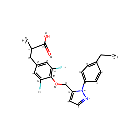 CCc1ccc(-n2nccc2COc2c(F)cc(CC(C)C(=O)O)cc2F)cc1